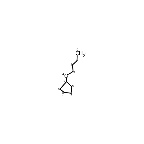 [CH2]CCCOC1C[CH]CC1